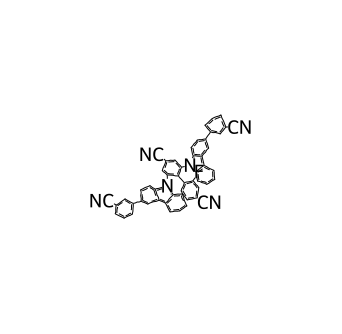 N#Cc1cccc(-c2ccc3c(c2)c2ccccc2n3-c2cc(C#N)cc(-n3c4ccccc4c4cc(-c5cccc(C#N)c5)ccc43)c2-c2ccc(C#N)cc2F)c1